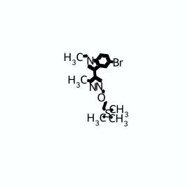 CCn1cc(-c2cn(COCCS(C)(C)C)nc2C)c2cc(Br)ccc21